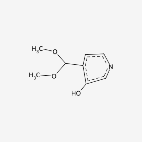 COC(OC)c1ccncc1O